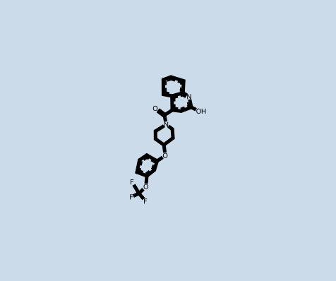 O=C(c1cc(O)nc2ccccc12)N1CCC(Oc2cccc(OC(F)(F)F)c2)CC1